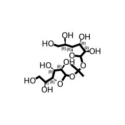 CC(C)(OC1O[C@H]([C@H](O)CO)[C@H](O)[C@H]1O)OC1O[C@H]([C@H](O)CO)[C@H](O)[C@H]1O